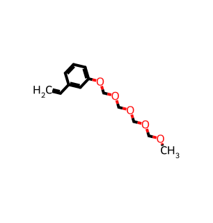 C=Cc1cccc(OCOCOCOCOC)c1